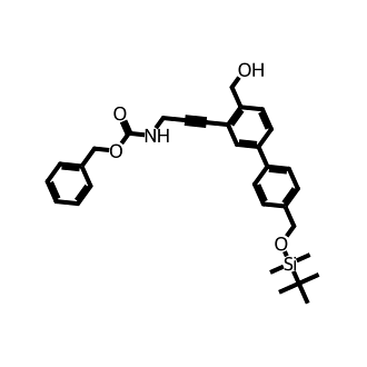 CC(C)(C)[Si](C)(C)OCc1ccc(-c2ccc(CO)c(C#CCNC(=O)OCc3ccccc3)c2)cc1